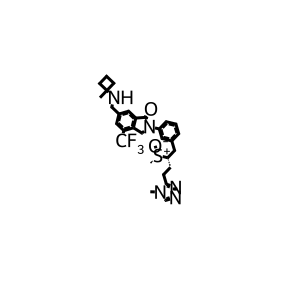 Cn1cnnc1CC[C@@H](Cc1cccc(N2Cc3c(cc(CNC4(C)CCC4)cc3C(F)(F)F)C2=O)c1)[S@+](C)[O-]